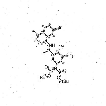 Cc1nnc(N[C@H](C)c2cc(N(C(=O)OC(C)(C)C)C(=O)OC(C)(C)C)cc(C(F)(F)F)c2F)c2cc(Br)ccc12